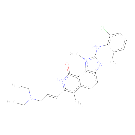 CCN(CC)C/C=C/c1[nH]c(=O)c2c(ccc3nc(Nc4c(C)cccc4Cl)n(C)c32)c1C